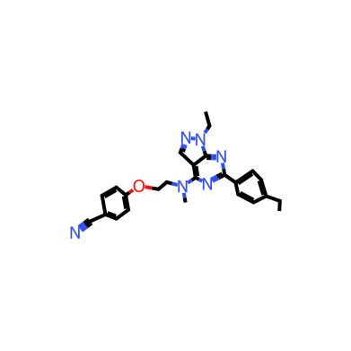 CCc1ccc(-c2nc(N(C)CCOc3ccc(C#N)cc3)c3cnn(CC)c3n2)cc1